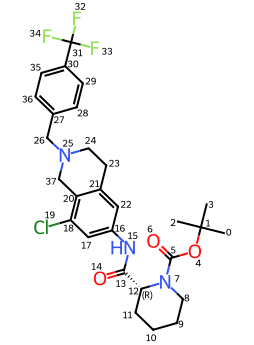 CC(C)(C)OC(=O)N1CCCC[C@@H]1C(=O)Nc1cc(Cl)c2c(c1)CCN(Cc1ccc(C(F)(F)F)cc1)C2